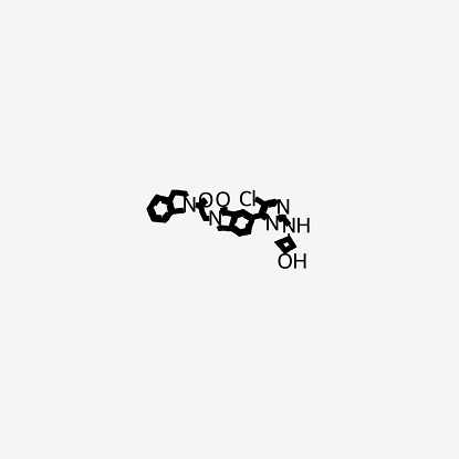 O=C(CN1Cc2ccc(-c3nc(N[C@H]4C[C@H](O)C4)ncc3Cl)cc2C1=O)N1CCc2ccccc2C1